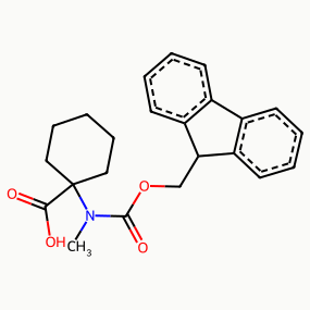 CN(C(=O)OCC1c2ccccc2-c2ccccc21)C1(C(=O)O)CCCCC1